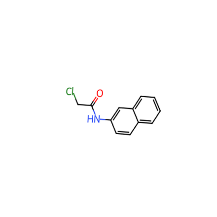 O=C(CCl)Nc1ccc2ccccc2c1